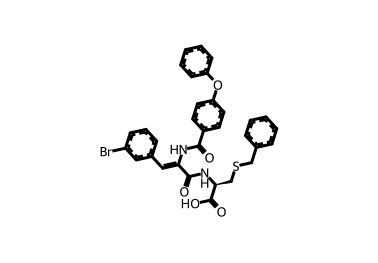 O=C(N[C@@H](CSCc1ccccc1)C(=O)O)C(=Cc1cccc(Br)c1)NC(=O)c1ccc(Oc2ccccc2)cc1